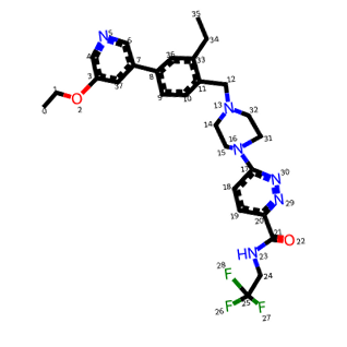 CCOc1cncc(-c2ccc(CN3CCN(c4ccc(C(=O)NCC(F)(F)F)nn4)CC3)c(CC)c2)c1